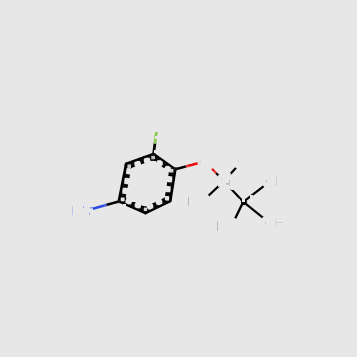 CC(C)(C)[Si](C)(C)Oc1ccc(N)cc1F